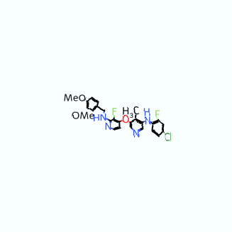 COc1ccc(CNc2nccc(Oc3cncc(Nc4ccc(Cl)cc4F)c3C)c2F)c(OC)c1